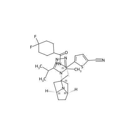 Cc1nnc(C(C)C)n1[C@@H]1C[C@H]2CC[C@@H](C1)N2CC[C@H](NC(=O)C1CCC(F)(F)CC1)c1ccc(C#N)s1